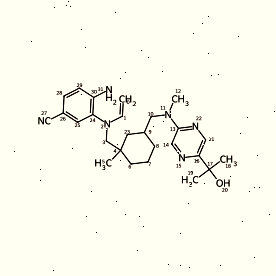 C=CN(CC1(C)CCCC(CN(C)c2cnc(C(C)(C)O)cn2)C1)c1cc(C#N)ccc1N